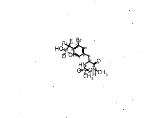 CNC(=O)C(Cc1ccc(C(F)(F)P(=O)(O)O)c(Br)c1)NS(C)(=O)=O